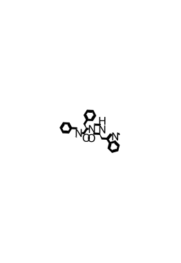 CN(Cc1ccccc1)C(=O)[C@@H](Cc1ccccc1)N1CCN[C@@H](Cc2cn(C)c3ccccc23)C1=O